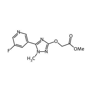 COC(=O)COc1nc(-c2cncc(F)c2)n(C)n1